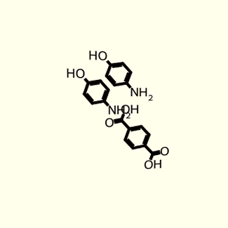 Nc1ccc(O)cc1.Nc1ccc(O)cc1.O=C(O)c1ccc(C(=O)O)cc1